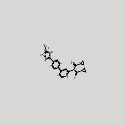 O=C(C1CC1)N(C(=O)C1CC1)c1cc(-c2ccc(-c3noc(C(F)(F)F)n3)cc2)ccn1